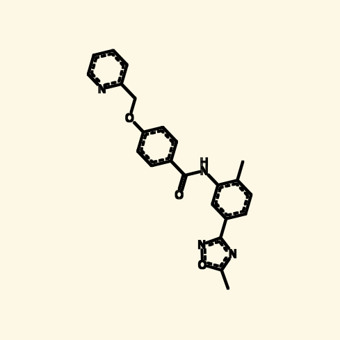 Cc1nc(-c2ccc(C)c(NC(=O)c3ccc(OCc4ccccn4)cc3)c2)no1